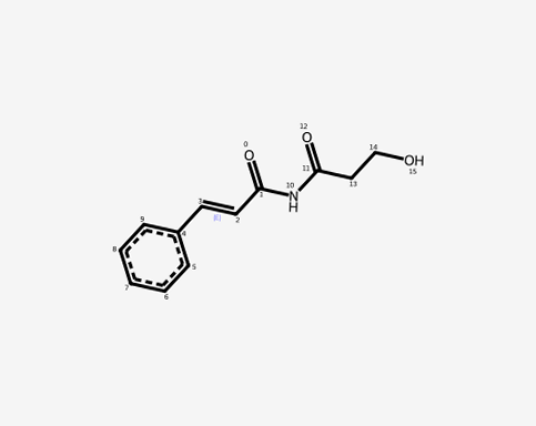 O=C(/C=C/c1ccccc1)NC(=O)CCO